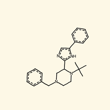 CC(C)(C)N1CCN(Cc2ccccc2)CC1c1ncc(-c2ccccc2)[nH]1